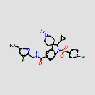 CC(=O)N1CCC2(CC1)c1cc(C(=O)NCc3ncc(C(F)(F)F)cc3F)ccc1N(S(=O)(=O)c1ccc(F)cc1)C2C1CC1